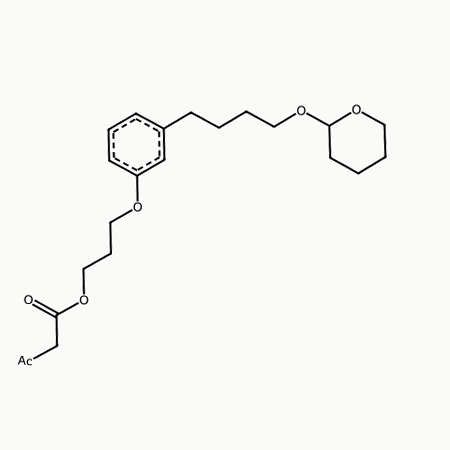 CC(=O)CC(=O)OCCCOc1cccc(CCCCOC2CCCCO2)c1